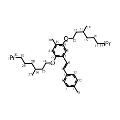 Cc1ccc(/C=C/c2cc(OCCC(C)CCCC(C)C)c(C)cc2OCCC(C)CCCC(C)C)cc1